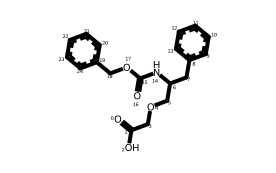 O=C(O)COCC(Cc1ccccc1)NC(=O)OCc1ccccc1